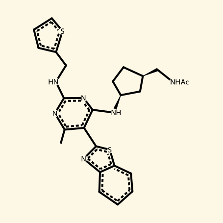 CC(=O)NC[C@@H]1CC[C@H](Nc2nc(NCc3cccs3)nc(C)c2-c2nc3ccccc3s2)C1